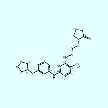 O=C1CCCN1CCCNc1nc(Nc2cccc(CN3CCCC3)c2)ncc1C(F)(F)F